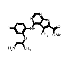 COC(=O)c1sc2ncnc(Nc3ccc(F)cc3OC(C)CN)c2c1C